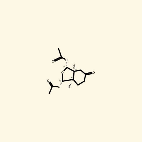 CC(=O)O[C@H]1O[C@@H](OC(C)=O)[C@@H]2CCC(=O)C[C@H]12